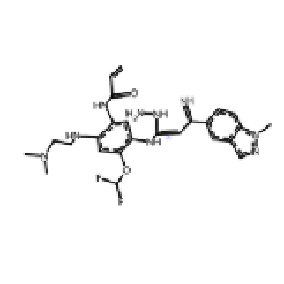 C=CC(=O)Nc1cc(N/C(=C/C(=N)c2ccc3c(cnn3C)c2)NN)c(OC(F)F)cc1NCCN(C)C